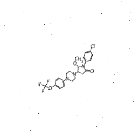 COC1C(N2CCN(c3ccc(OC(F)(F)F)cc3)CC2)CC(=O)N1c1ccc(Cl)cc1